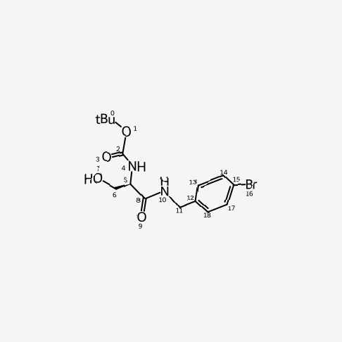 CC(C)(C)OC(=O)N[C@H](CO)C(=O)NCc1ccc(Br)cc1